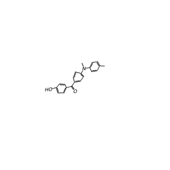 Cc1ccc(N(C)c2ccc(C(=O)c3ccc(O)cc3)cc2)cc1